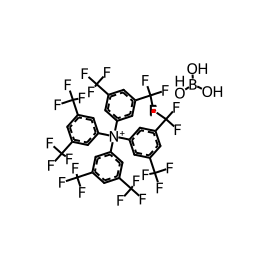 FC(F)(F)c1cc(C(F)(F)F)cc([N+](c2cc(C(F)(F)F)cc(C(F)(F)F)c2)(c2cc(C(F)(F)F)cc(C(F)(F)F)c2)c2cc(C(F)(F)F)cc(C(F)(F)F)c2)c1.OB(O)O